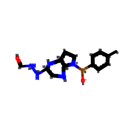 Cc1ccc([S+]([O-])n2ccc3nc(NNC=O)cnc32)cc1